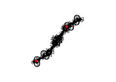 C=CC(=O)OCCCC(=O)Oc1ccc(C#Cc2cnc(-c3ncc(C#Cc4ccc(OC(=O)CCCOC(=O)C=C)cc4)cc3C)c(C)c2)cc1